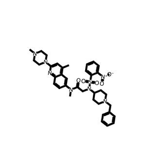 Cc1cc(N2CCN(C)CC2)nc2ccc(N(C)C(=O)CN(C3CCN(Cc4ccccc4)CC3)S(=O)(=O)c3ccccc3[N+](=O)[O-])cc12